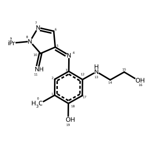 Cc1cc(N=C2C=NN(C(C)C)C2=N)c(NCCO)cc1O